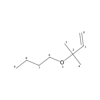 C=CC(C)(C)OCCCC